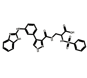 O=C(NCC(NS(=O)(=O)c1ccccc1)C(=O)O)c1n[nH]cc1-c1cccc(Nc2nc3ccccc3[nH]2)c1